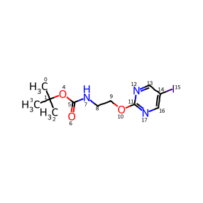 CC(C)(C)OC(=O)NCCOc1ncc(I)cn1